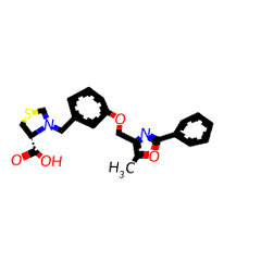 Cc1oc(-c2ccccc2)nc1COc1cccc(CN2CSC[C@H]2C(=O)O)c1